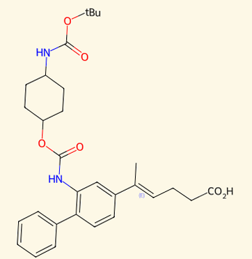 C/C(=C\CCC(=O)O)c1ccc(-c2ccccc2)c(NC(=O)OC2CCC(NC(=O)OC(C)(C)C)CC2)c1